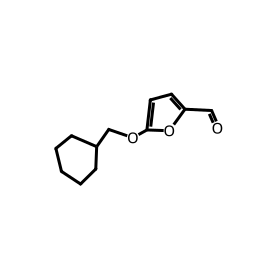 O=Cc1ccc(OCC2CCCCC2)o1